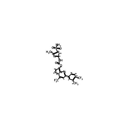 Cc1cc(-c2cc(C(F)(F)F)n3ncc(OC(=O)Nc4nc(C)c(S(N)(=O)=O)s4)c3n2)ccc1C(F)(F)F